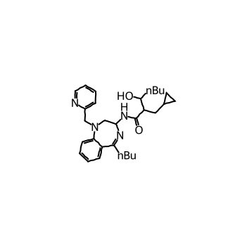 CCCCC1=NC(NC(=O)C(CC2CC2)C(O)CCCC)CN(Cc2ccccn2)c2ccccc21